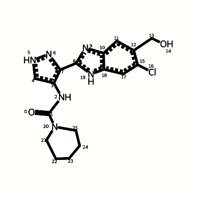 O=C(Nc1c[nH]nc1-c1nc2cc(CO)c(Cl)cc2[nH]1)N1CCCCC1